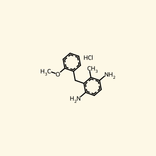 COc1ccccc1Cc1c(N)ccc(N)c1C.Cl